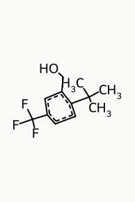 CC(C)(C)c1ccc(C(F)(F)F)cc1CO